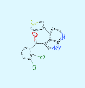 O=C(c1cccc(Cl)c1Cl)c1c[nH]c2nccc(-c3ccsc3)c12